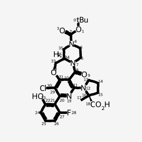 CC(C)(C)OC(=O)N1CCN2C(=O)c3c(N4CCC[C@@]4(C)C(=O)O)nc(-c4c(O)cccc4F)c(Cl)c3OC[C@H]2C1